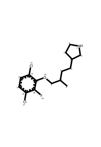 CC(CCC1CCNC1)COc1c(Cl)ccc(Cl)c1F